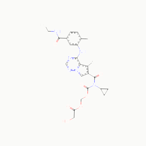 CCNC(=O)c1ccc(C)c(Nc2ncnn3cc(C(=O)N(C(=O)OCOC(=O)CO)C4CC4)c(C)c23)c1